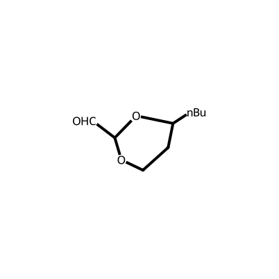 CCCCC1CCOC(C=O)O1